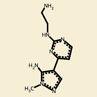 Cn1ncc(-c2ccnc(NCCN)n2)c1N